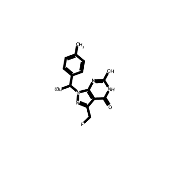 Cc1ccc(C(n2nc(CF)c3c(=O)[nH]c(O)nc32)C(C)(C)C)cc1